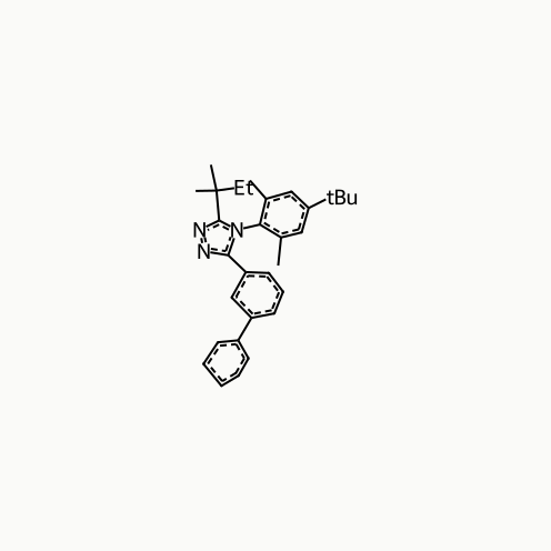 CCC(C)(C)c1nnc(-c2cccc(-c3ccccc3)c2)n1-c1c(C)cc(C(C)(C)C)cc1C